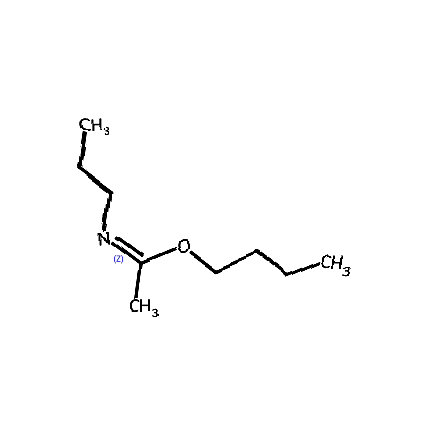 CCCCO/C(C)=N\CCC